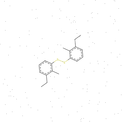 CCc1cccc(SSc2cccc(CC)c2C)c1C